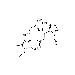 CN(CCc1ncsc1C#N)/N=C\c1c(C=O)n(C)c2nc(CC(=N)/C=C\N)sc12